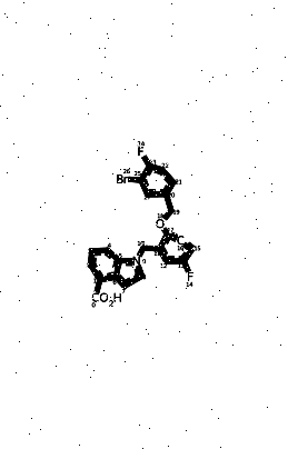 O=C(O)c1cccc2c1ccn2Cc1cc(F)ccc1OCc1ccc(F)c(Br)c1